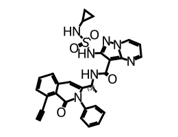 C#Cc1cccc2cc([C@H](C)NC(=O)c3c(NS(=O)(=O)NC4CC4)nn4cccnc34)n(-c3ccccc3)c(=O)c12